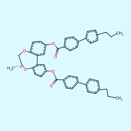 CCCc1ccc(-c2ccc(C(=O)Oc3ccc4c(c3)-c3cc(OC(=O)c5ccc(-c6ccc(CCC)cc6)cc5)ccc3O[C@H](C)CO4)cc2)cc1